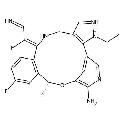 CCN/C1=C(\C=N)CN/C(=C(/F)C=N)c2ccc(F)cc2[C@@H](C)Oc2cc1cnc2N